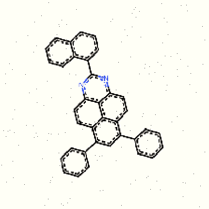 c1ccc(-c2cc(-c3ccccc3)c3ccc4nc(-c5cccc6ccccc56)nc5ccc2c3c54)cc1